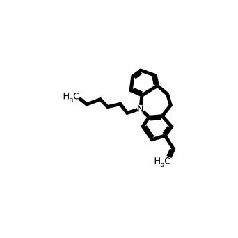 C=Cc1ccc2c(c1)CCc1ccccc1N2CCCCCC